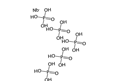 O=P(O)(O)O.O=P(O)(O)O.O=P(O)(O)O.O=P(O)(O)O.O=P(O)(O)O.[Nb]